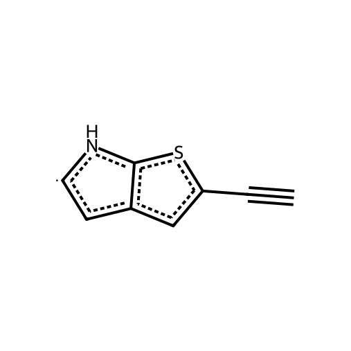 C#Cc1cc2c[c][nH]c2s1